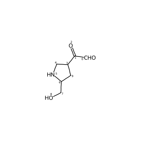 O=CC(=O)C1CNC(CO)C1